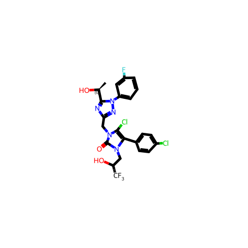 C[C@H](O)c1nc(Cn2c(Cl)c(-c3ccc(Cl)cc3)n(CC(O)C(F)(F)F)c2=O)nn1-c1cccc(F)c1